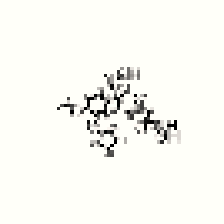 CCOc1ccc(C2(C#N)CCN(CC(=O)NO)CC2)cc1OC1CCCC1.Cl